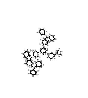 Nc1cc(-c2nc(-c3cccc(-c4ccccc4)c3)nc(-c3ccc4c(c3)c3ccccc3n4-c3ccccc3)n2)ccc1-n1c2ccccc2c2ccc3c(c4ccccc4n3-c3ccccc3)c21